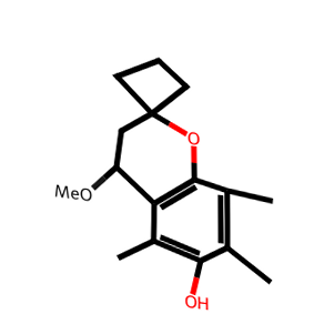 COC1CC2(CCC2)Oc2c(C)c(C)c(O)c(C)c21